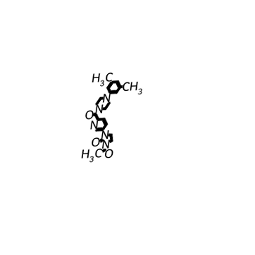 CC(=O)N1CCN(c2ccc(C(=O)N3CCN(c4cc(C)cc(C)c4)CC3)nc2)C1=O